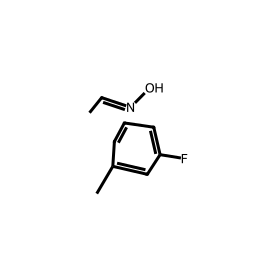 CC=NO.Cc1cccc(F)c1